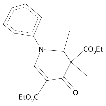 CCOC(=O)C1=CN(c2ccccc2)C(C)C(C)(C(=O)OCC)C1=O